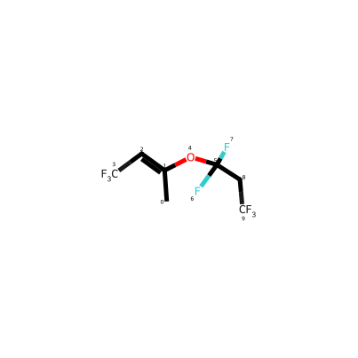 C/C(=C\C(F)(F)F)OC(F)(F)CC(F)(F)F